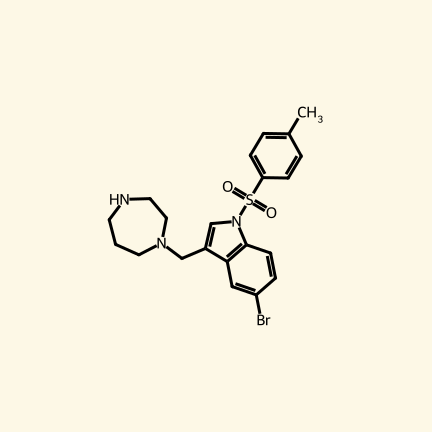 Cc1ccc(S(=O)(=O)n2cc(CN3CCCNCC3)c3cc(Br)ccc32)cc1